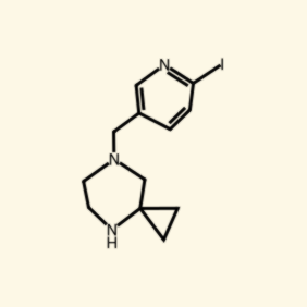 Ic1ccc(CN2CCNC3(CC3)C2)cn1